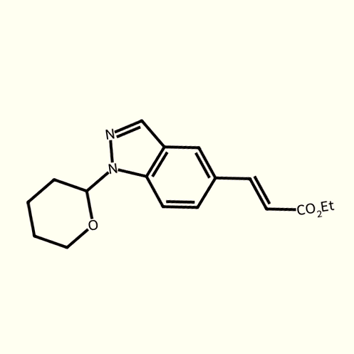 CCOC(=O)/C=C/c1ccc2c(cnn2C2CCCCO2)c1